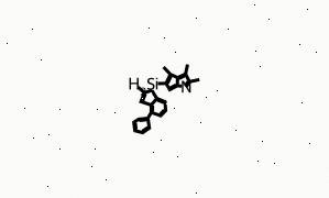 CC1=Cc2c(-c3ccccc3)cccc2C1[SiH2]C1=C(C)C2=C(C)C(C)=NC2=C1